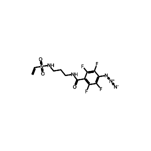 C=CS(=O)(=O)NCCCNC(=O)c1c(F)c(F)c(N=[N+]=[N-])c(F)c1F